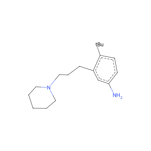 CC(C)(C)c1ccc(N)cc1CCCN1CCCCC1